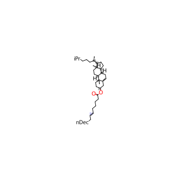 CCCCCCCCCCC/C=C/CCCCC(=O)O[C@H]1CC[C@@]2(C)C(=CC[C@H]3[C@@H]4CC[C@H]([C@H](C)CCCC(C)C)[C@@]4(C)CC[C@@H]32)C1